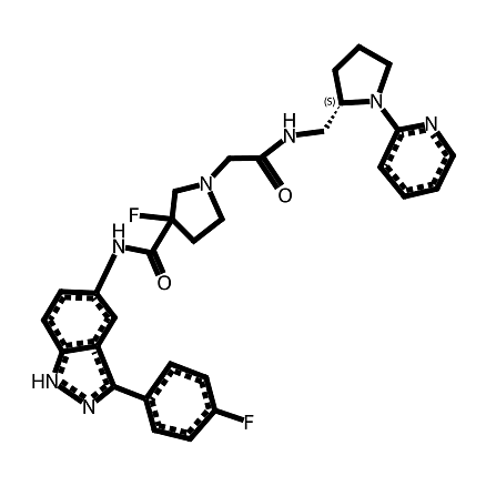 O=C(CN1CCC(F)(C(=O)Nc2ccc3[nH]nc(-c4ccc(F)cc4)c3c2)C1)NC[C@@H]1CCCN1c1ccccn1